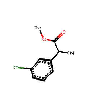 CC(C)(C)OC(=O)C(C#N)c1cccc(Cl)c1